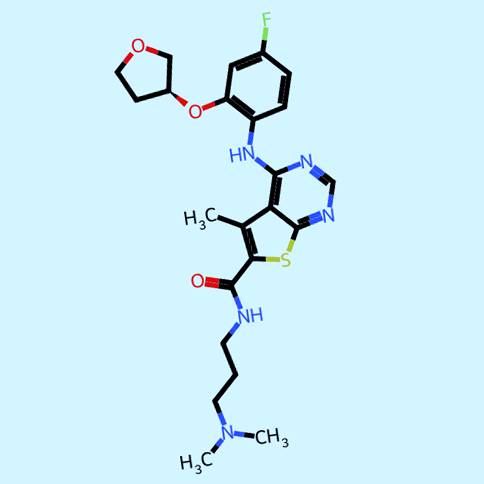 Cc1c(C(=O)NCCCN(C)C)sc2ncnc(Nc3ccc(F)cc3O[C@H]3CCOC3)c12